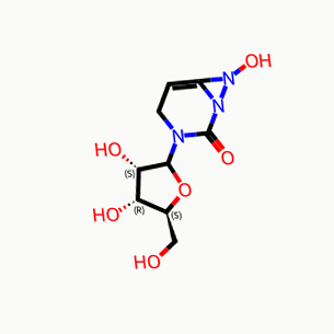 O=C1N(C2O[C@@H](CO)[C@H](O)[C@@H]2O)CC=C2N(O)N12